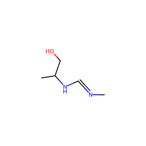 C/N=C/NC(C)CO